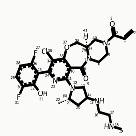 C=CC(=O)N1CCN2C(=O)c3c(N4CC(NCCNC)C[C@@H]4C)nc(-c4c(F)ccc(F)c4O)c(Cl)c3OC[C@H]2C1